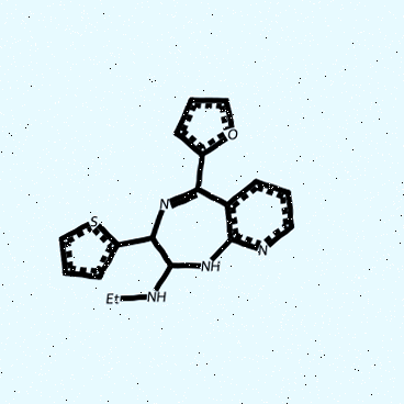 CCNC1Nc2ncccc2C(c2ccco2)=NC1c1cccs1